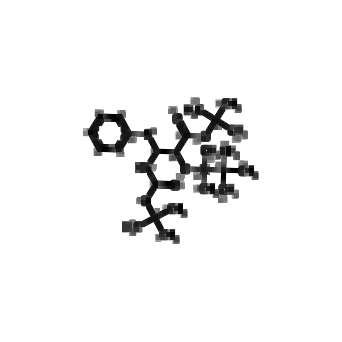 CC(C)(C)OC(=O)NC(Sc1ccccc1)C(O[Si](C)(C)C(C)(C)C)C(=O)OC(C)(C)C